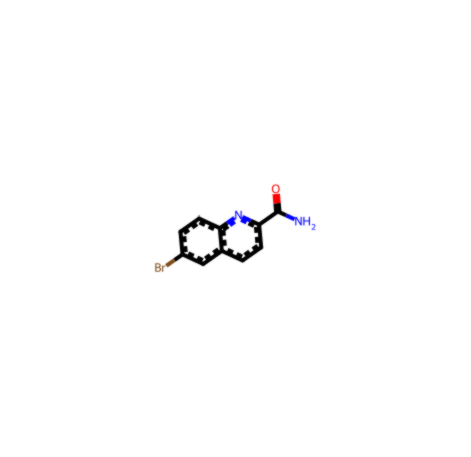 NC(=O)c1ccc2cc(Br)c[c]c2n1